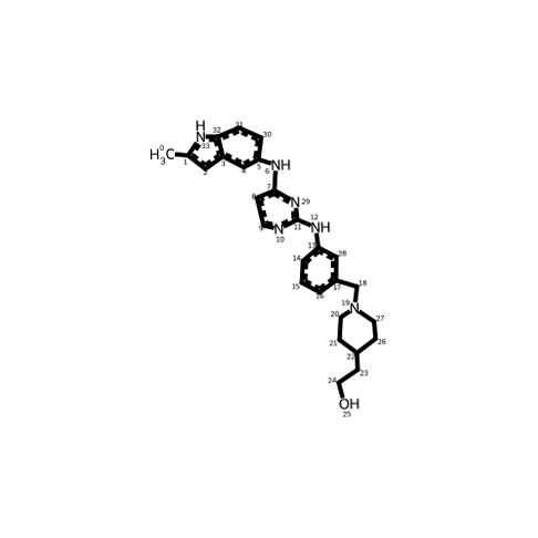 Cc1cc2cc(Nc3ccnc(Nc4cccc(CN5CCC(CCO)CC5)c4)n3)ccc2[nH]1